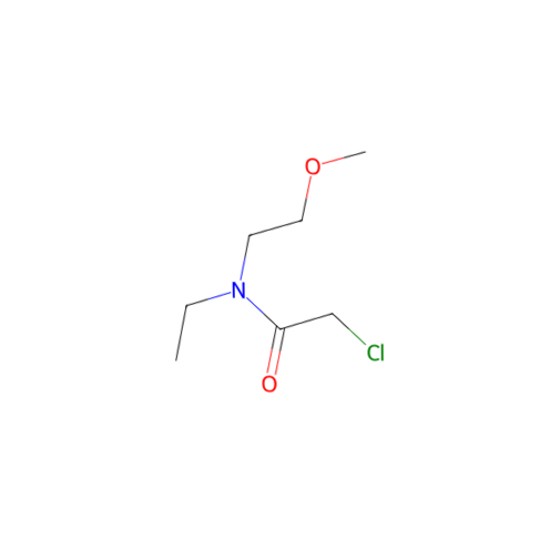 CCN(CCOC)C(=O)CCl